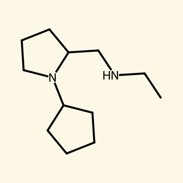 CCNCC1CCCN1C1CCCC1